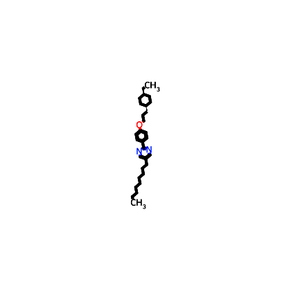 CCCCCCCCCc1cnc(-c2ccc(OCCC[C@H]3CC[C@H](CC)CC3)cc2)nc1